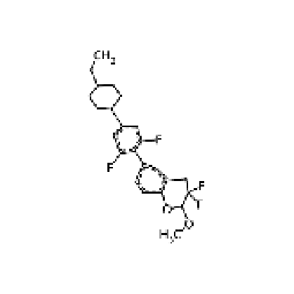 CCC1CCC(c2cc(F)c(-c3ccc4c(c3)CC(F)(F)C(OC)O4)c(F)c2)CC1